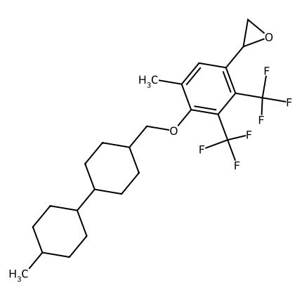 Cc1cc(C2CO2)c(C(F)(F)F)c(C(F)(F)F)c1OCC1CCC(C2CCC(C)CC2)CC1